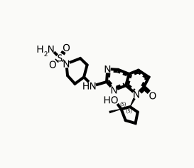 C[C@]1(O)CCC[C@@H]1n1c(=O)ccc2cnc(NC3CCN(S(N)(=O)=O)CC3)nc21